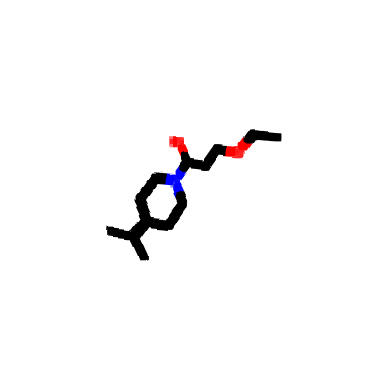 CCOCCC(O)N1CCC(C(C)C)CC1